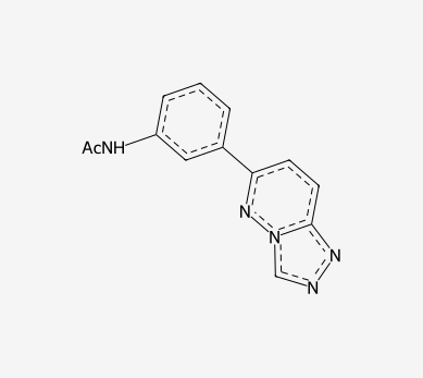 CC(=O)Nc1cccc(-c2ccc3nncn3n2)c1